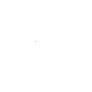 CCCc1ccc2cc(C(C)C)[s+](C(F)(F)F)c2c1.[Br-]